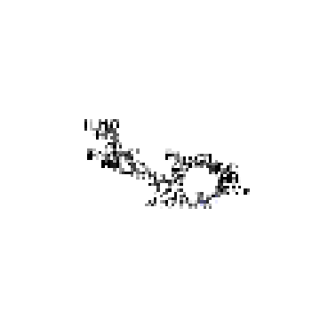 COc1cc2cc(c1-c1ccc(OCc3ccc(NC(=O)[C@H](CCCNC(N)=O)NC(=O)[C@@H](N)C(C)C)cc3)cc1)N(C)C(=O)C[C@H](OC(=O)C(C)C)[C@]1(C)O[C@H]1[C@H](C)[C@@H]1C[C@@](O)(NC(=O)O1)[C@H](OC)/C=C/C=C(\C)C2